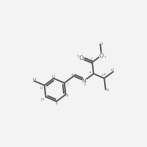 COC(=O)C(N=Cc1cccc(C)c1)C(C)C